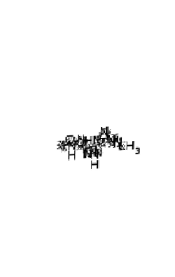 CN1CCN(c2cncc3[nH]c(-c4n[nH]c5ncc(-c6cncc(NC(=O)C7CCC7)c6)cc45)cc23)CC1